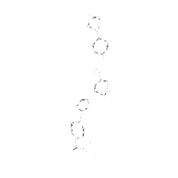 CN1Cc2cc(-c3ccc(-c4cncc(NSc5ccc(-c6cnco6)cc5)c4)s3)ccc2C1=O